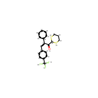 O=C(C(=Cc1ccc(C(F)(F)F)cc1)c1ccccc1)C1SCCCS1